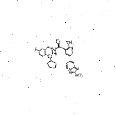 Cc1ncc(-c2ccn3nc(N)nc3c2)cc1C(=O)NCc1cc(F)ccc1OC1CCCC1